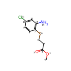 COC(=O)CCSc1ccc(Cl)cc1N